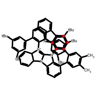 Cc1cc2c(cc1C)-c1ccc3c4ccccc4n4c3c1[N+]1(C3=[N+](c5c(-c6cc(C(C)(C)C)cc(C(C)(C)C)c6)cccc5-c5cc(C(C)(C)C)cc(C(C)(C)C)c5)C5C=CC=CC5N3c3cccc-2c31)[n+]1ccc(C(C)(C)C)cc1-4